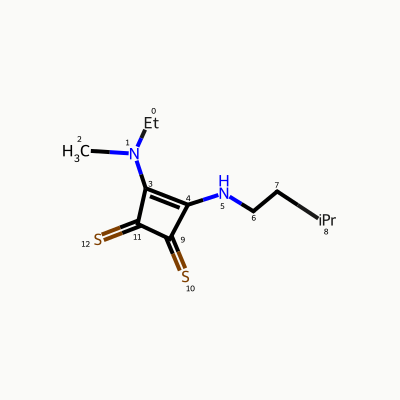 CCN(C)c1c(NCCC(C)C)c(=S)c1=S